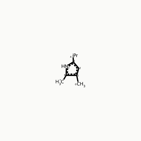 Cc1cc(C(C)C)[nH]c1C